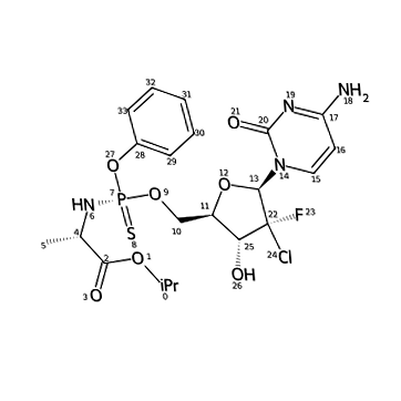 CC(C)OC(=O)[C@H](C)N[P@@](=S)(OC[C@H]1O[C@@H](n2ccc(N)nc2=O)[C@@](F)(Cl)[C@@H]1O)Oc1ccccc1